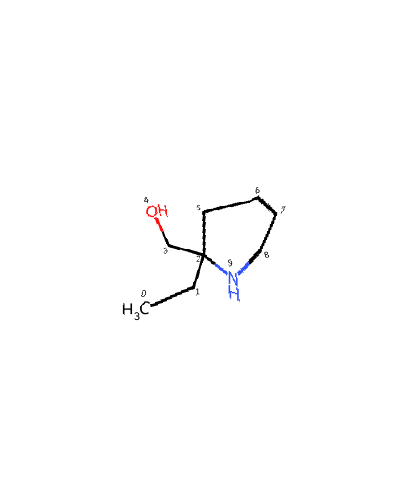 CCC1(CO)CCCCN1